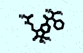 CC(=O)NCCN1C(=O)C(C)(C)c2ccc(C(=O)N(C(C)C)C3CCCCC3)cc21